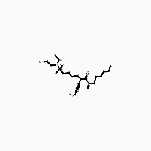 CCCCCCN(C)C(=O)C(C#CN)CCCCC(C)(C)N(CC)CCF